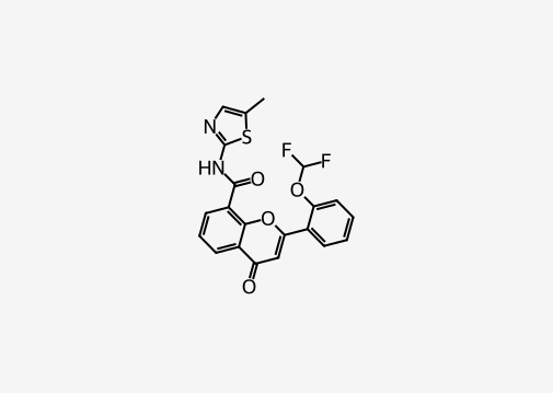 Cc1cnc(NC(=O)c2cccc3c(=O)cc(-c4ccccc4OC(F)F)oc23)s1